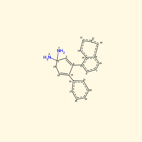 NC1(N)C=C(c2cccc3ccccc23)C(c2ccccc2)=CC1